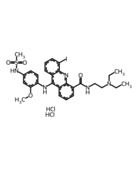 CCN(CC)CCNC(=O)c1cccc2c(Nc3ccc(NS(C)(=O)=O)cc3OC)c3cccc(I)c3nc12.Cl.Cl